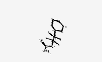 CC(C)(OC(N)=O)C(C)(C)C1CCCCC1